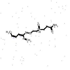 C=N/C(=C\C=C/C)SSCC[PH](=O)CCC(N)=O